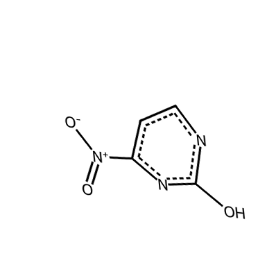 O=[N+]([O-])c1ccnc(O)n1